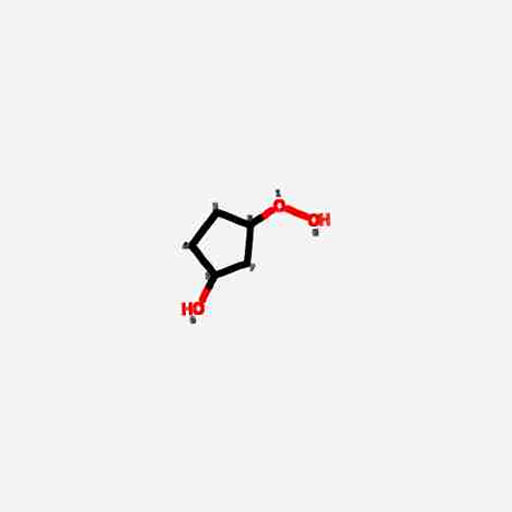 OOC1CCC(O)C1